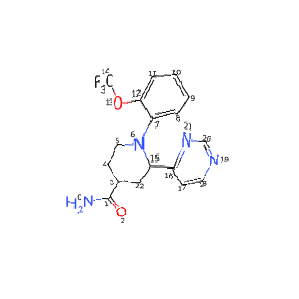 NC(=O)C1CCN(c2ccccc2OC(F)(F)F)C(c2ccncn2)C1